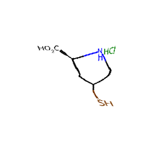 Cl.O=C(O)[C@@H]1CC(S)CN1